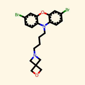 Brc1ccc2c(c1)Oc1cc(Br)ccc1N2CCCCN1CC2(COC2)C1